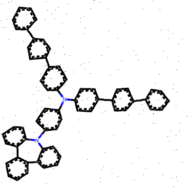 c1ccc(-c2ccc(-c3ccc(N(c4ccc(-c5ccc(-c6ccccc6)cc5)cc4)c4ccc(N5c6ccccc6-c6ccccc6-c6ccccc65)cc4)cc3)cc2)cc1